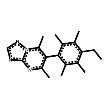 CCc1c(C)c(C)c(-c2c(C)nc3ncnn3c2C)c(C)c1C